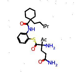 CC(=O)C(N)(CCC(N)=O)C(=O)Sc1ccccc1NC(=O)C1(CCC(C)C)CCCCC1